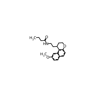 CCCC(=O)NCCC1CCOc2ccc3ccc(OC)cc3c21